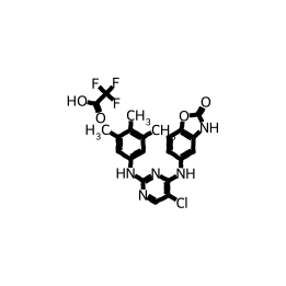 Cc1cc(Nc2ncc(Cl)c(Nc3ccc4oc(=O)[nH]c4c3)n2)cc(C)c1C.O=C(O)C(F)(F)F